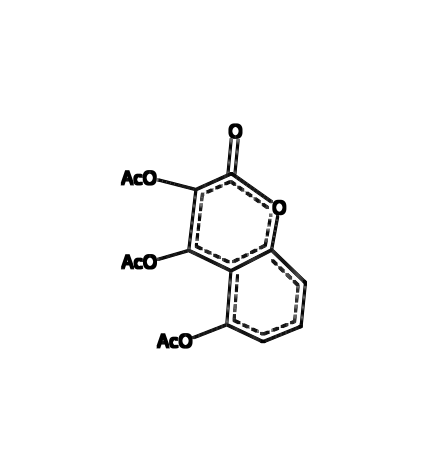 CC(=O)Oc1c(OC(C)=O)c2c(OC(C)=O)cccc2oc1=O